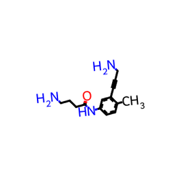 Cc1ccc(NC(=O)CCCN)cc1C#CCN